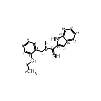 CCOc1ccccc1CNC(=N)c1cc2ccccc2[nH]1